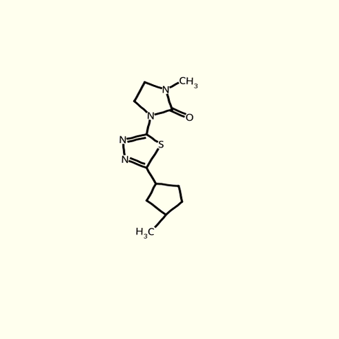 CC1CCC(c2nnc(N3CCN(C)C3=O)s2)C1